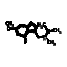 COc1cc(F)c2c(ccn2C[C@@H](C)N(C)C)c1